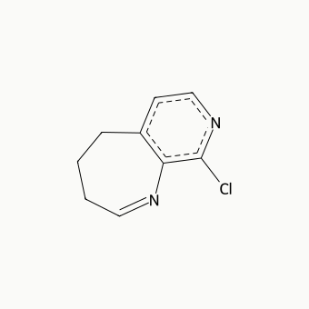 Clc1nccc2c1N=CCCC2